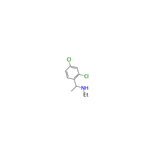 CCNC(C)c1ccc(Cl)cc1Cl